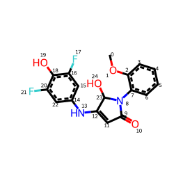 COc1ccccc1N1C(=O)C=C(Nc2cc(F)c(O)c(F)c2)C1O